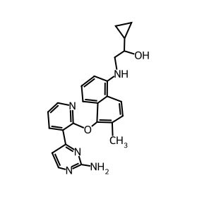 Cc1ccc2c(NCC(O)C3CC3)cccc2c1Oc1ncccc1-c1ccnc(N)n1